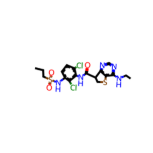 CCCS(=O)(=O)Nc1ccc(Cl)c(NC(=O)C2CSc3c(NCC)ncnc32)c1Cl